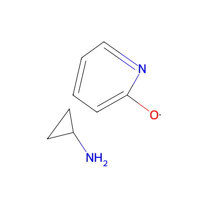 NC1CC1.[O]c1ccccn1